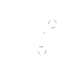 N#CCCN(CCC(=O)Oc1ccccc1)c1ccc(C=O)cc1